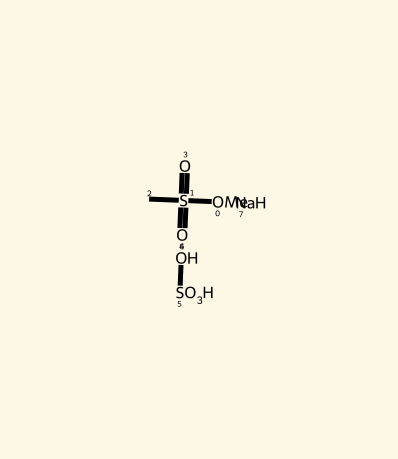 COS(C)(=O)=O.O=S(=O)(O)O.[NaH]